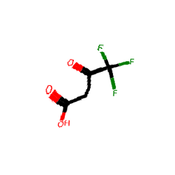 O=C(O)CC(=O)C(F)(F)F